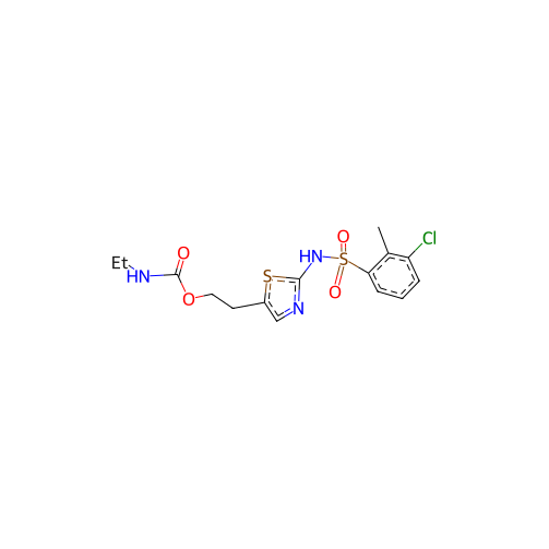 CCNC(=O)OCCc1cnc(NS(=O)(=O)c2cccc(Cl)c2C)s1